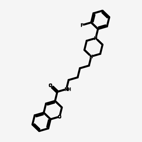 O=C(NCCCCN1CCN(c2ccccc2F)CC1)C1=Cc2ccccc2OC1